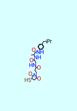 CC(C)Cc1ccc(NC(=O)C(C)NC(=O)CNC(=O)CCN2C(=O)CC(S)C2=O)cc1